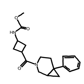 COC(=O)NC1CC(C(=O)N2CCC3(c4ccccc4)CC3C2)C1